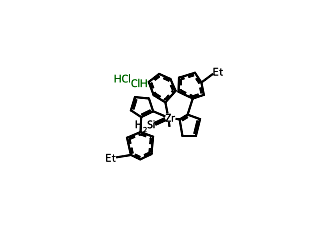 CCc1cccc(C2=[C]([Zr]([CH3])(=[SiH2])([C]3=C(c4cccc(CC)c4)C=CC3)[c]3ccccc3)CC=C2)c1.Cl.Cl